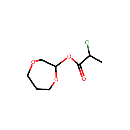 CC(Cl)C(=O)OC1COCCCO1